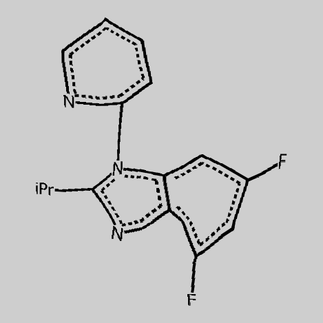 CC(C)c1nc2c(F)cc(F)cc2n1-c1ccccn1